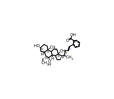 CC[C@H]1[C@@H](O)[C@H]2C3CC[C@H]([C@H](C)C/C=C/c4ccccc4C(=O)O)[C@@]3(C)CCC2[C@@]2(C)CC[C@@H](O)C[C@@H]12